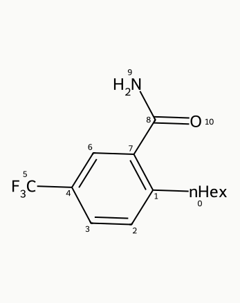 CCCCCCc1ccc(C(F)(F)F)cc1C(N)=O